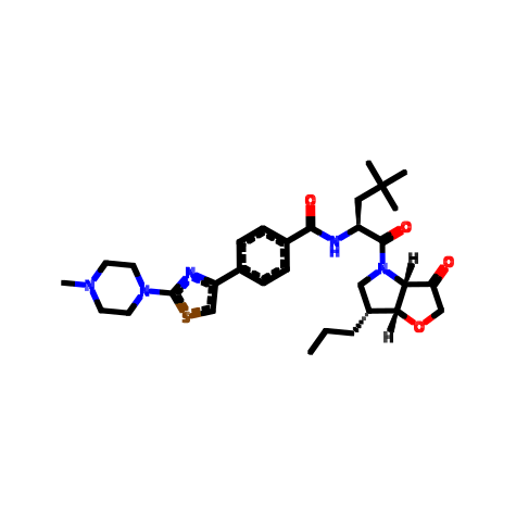 CCC[C@@H]1CN(C(=O)[C@H](CC(C)(C)C)NC(=O)c2ccc(-c3csc(N4CCN(C)CC4)n3)cc2)[C@@H]2C(=O)CO[C@H]12